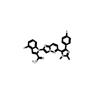 Cc1nc(-c2ccc(F)cc2)c(-c2ccc3nc(-n4c(C(N)=O)cc5c(F)cccc54)cn3n2)n1C